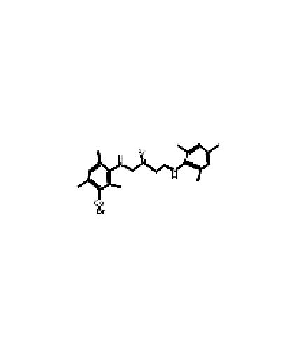 Cc1cc(C)c(NCCN(Br)CNc2c(C)cc(C)[c]([Co][Br])c2C)c(C)c1